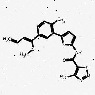 C=C/C=C(\SC)c1ccc(C)c(-c2ccc(NC(=O)c3snnc3C)s2)c1